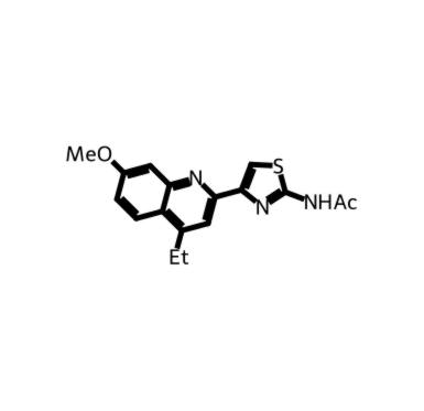 CCc1cc(-c2csc(NC(C)=O)n2)nc2cc(OC)ccc12